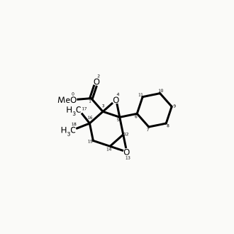 COC(=O)C12OC1(C1CCCCC1)C1OC1CC2(C)C